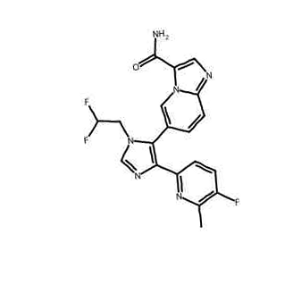 Cc1nc(-c2ncn(CC(F)F)c2-c2ccc3ncc(C(N)=O)n3c2)ccc1F